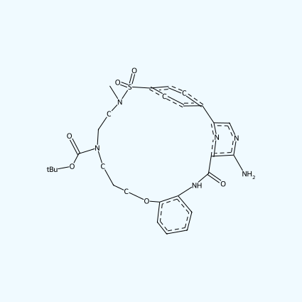 CN1CCN(C(=O)OC(C)(C)C)CCCOc2ccccc2NC(=O)c2nc(cnc2N)-c2ccc(cc2)S1(=O)=O